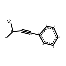 [CH2]C(C#N)C#Cc1ccccc1